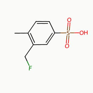 Cc1ccc(S(=O)(=O)O)cc1CF